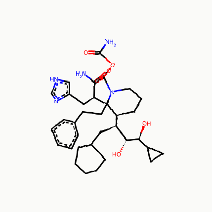 NC(=O)OC(=O)N1CCCC([C@H](CC2CCCCC2)[C@@H](O)[C@@H](O)C2CC2)C1(CCc1ccccc1)C(Cc1c[nH]cn1)C(N)=O